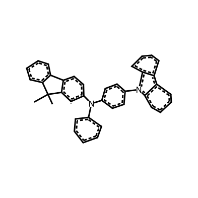 CC1(C)c2[c]c(N(c3ccccc3)c3ccc(-n4c5ccccc5c5ccccc54)cc3)ccc2-c2ccccc21